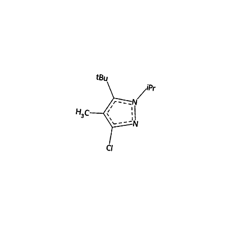 Cc1c(Cl)nn(C(C)C)c1C(C)(C)C